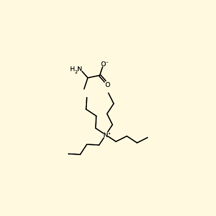 CC(N)C(=O)[O-].CCCC[N+](CCCC)(CCCC)CCCC